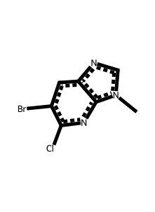 Cn1cnc2cc(Br)c(Cl)nc21